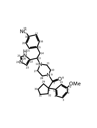 COc1cccc(C2(C(=O)N3CCN(C(Cc4ccc(C#N)cc4)c4cnc[nH]4)CC3)CCCC2)c1